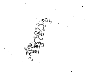 CSc1ccc(S(=O)(=O)c2ccc(NC(=O)C(C)(O)C(F)(F)F)c(Cl)c2)cc1